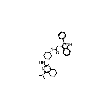 CN(C)c1nc(N[C@H]2CC[C@@H](NC(=O)Cc3c(-c4ccccc4)[nH]c4ccccc34)CC2)nc2c1CCCC2